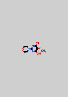 COc1c(O)nc(N2CCOCC2)nc1O